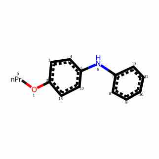 C[CH]COc1ccc(Nc2ccccc2)cc1